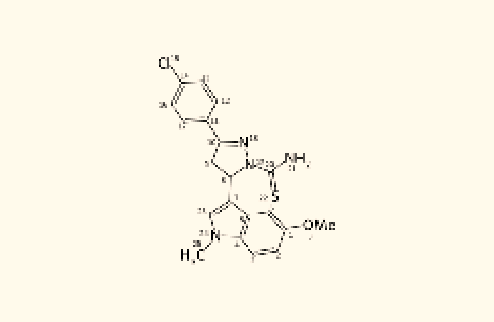 COc1ccc2c(c1)c(C1CC(c3ccc(Cl)cc3)=NN1C(N)=S)cn2C